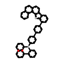 c1ccc(-c2ccccc2N(c2ccccc2)c2ccc(-c3ccc(-c4cccc5c4oc4c5ccc5ccc6ccccc6c54)cc3)cc2)cc1